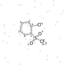 O=S(=O)(c1ccccc1Cl)C(F)(F)F